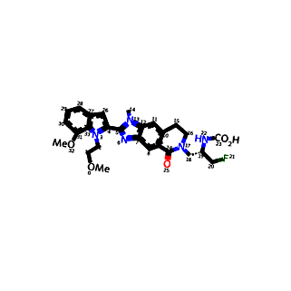 COCCn1c(-c2nc3cc4c(cc3n2C)CCN(C[C@@H](CF)NC(=O)O)C4=O)cc2cccc(OC)c21